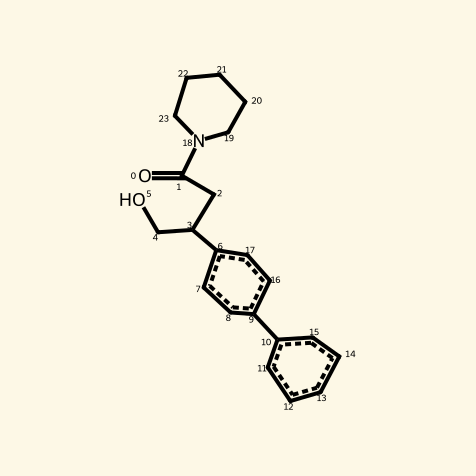 O=C(CC(CO)c1ccc(-c2ccccc2)cc1)N1CCCCC1